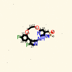 C[S@@](=N)(=O)Cc1cc2nc(c1)OCCCOc1cc(F)ccc1-c1cc(ncc1F)N2